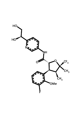 COc1c(F)cccc1[C@H]1[C@H](C(=O)Nc2ccc([C@@H](O)CO)nc2)O[C@@](C)(C(F)(F)F)[C@H]1C